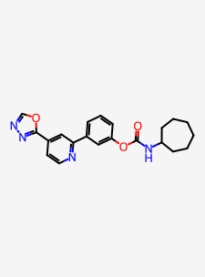 O=C(NC1CCCCCC1)Oc1cccc(-c2cc(-c3nnco3)ccn2)c1